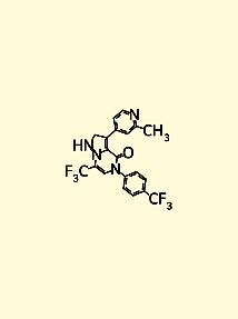 Cc1cc(C2=C3C(=O)N(c4ccc(C(F)(F)F)cc4)C=C(C(F)(F)F)N3NC2)ccn1